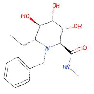 CC[C@@H]1[C@@H](O)[C@H](O)[C@H](O)[C@@H](C(=O)NC)N1Cc1ccccc1